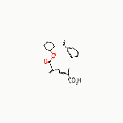 C=C(CC=C(C)C(=O)O)C(=O)OC1CCCCC1.C=Cc1ccccc1